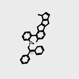 Cc1ccc2c(c1-c1ccccc1P(C)C/C(=C1/C=CC=CC1)c1ccccc1)CC1=C2CC2=C1C(C)C=C2